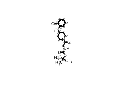 CC(C)(C)OC(=O)NCC(=O)N1CCC(Nc2ccccc2Cl)CC1